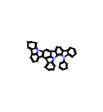 c1ccc(-n2c3ccccc3c3ccc4c5cc6c(c7cccc8c9ccccc9n6c87)c6c7ccccc7n(c56)c4c32)cc1